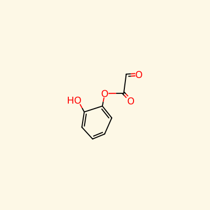 O=CC(=O)Oc1ccccc1O